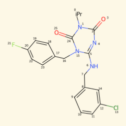 CC(C)n1c(=O)nc(NCc2cccc(Cl)c2)n(Cc2ccc(F)cc2)c1=O